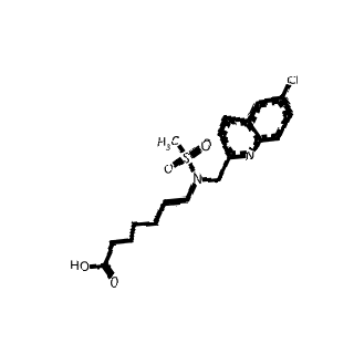 CS(=O)(=O)N(CCCCCCC(=O)O)Cc1ccc2cc(Cl)ccc2n1